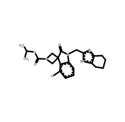 CC(C)OC(=O)N1CC2(C1)C(=O)N(Cc1nc3c([nH]1)CCCC3)c1cccc(Cl)c12